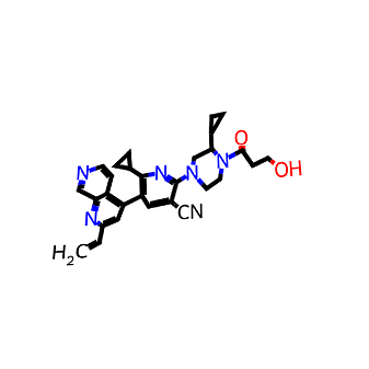 C=Cc1cc(-c2cc(C#N)c(N3CCN(C(=O)CCO)C(C4CC4)C3)nc2C2CC2)c2ccncc2n1